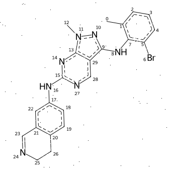 Cc1cccc(Br)c1Nc1nn(C)c2nc(Nc3ccc4c(c3)C=NCC4)ncc12